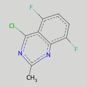 Cc1nc(Cl)c2c(F)ccc(F)c2n1